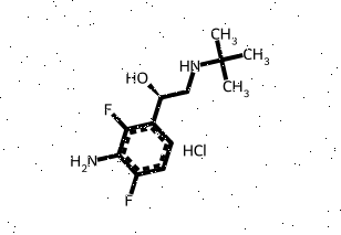 CC(C)(C)NC[C@H](O)c1ccc(F)c(N)c1F.Cl